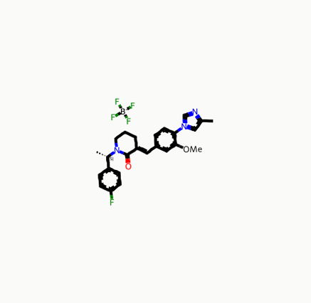 COc1cc(C=C2CCCN([C@@H](C)c3ccc(F)cc3)C2=O)ccc1-n1cnc(C)c1.F[B-](F)(F)F